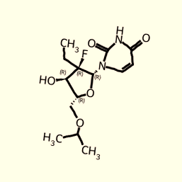 CC[C@@]1(F)[C@H](O)[C@@H](COC(C)C)O[C@H]1n1ccc(=O)[nH]c1=O